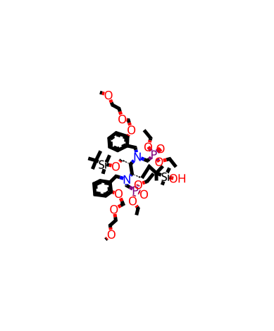 CCOP(=O)(CN(Cc1ccccc1OCOCCOC)[C@@H](CCC(C)(C)[Si](C)(C)O)[C@H](CO[Si](C)(C)C(C)(C)C)N(Cc1ccccc1OCOCCOC)CP(=O)(OCC)OCC)OCC